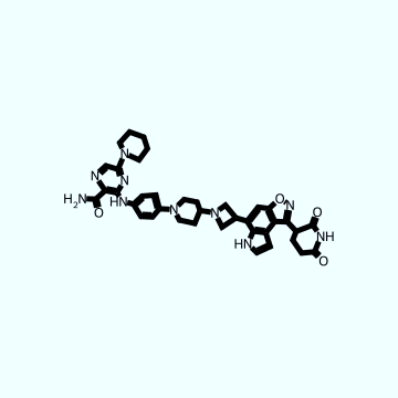 NC(=O)c1ncc(N2CCCCC2)nc1Nc1ccc(N2CCC(N3CC(c4cc5onc(C6CCC(=O)NC6=O)c5c5cc[nH]c45)C3)CC2)cc1